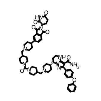 NC(=O)c1c(-c2ccc(Oc3ccccc3)cc2)nn2c1NCC[C@H]2C1CCN(CC2CCN(C(=O)N3CCC(CN4CCC(c5ccc6c(c5)C(=O)N(C5CCC(=O)NC5=O)C6=O)CC4)CC3)CC2)CC1